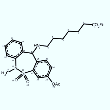 CCOC(=O)CCCCCCNC1c2ccccc2N(C)S(=O)(=O)c2cc(OC(C)=O)ccc21